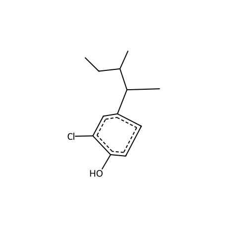 CCC(C)C(C)c1ccc(O)c(Cl)c1